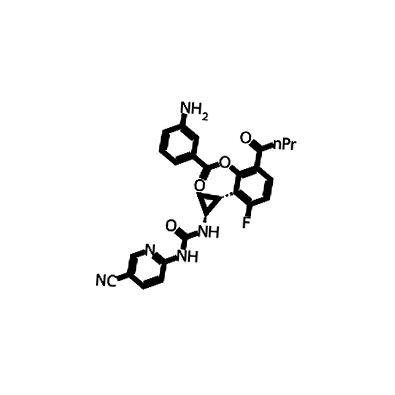 CCCC(=O)c1ccc(F)c([C@H]2C[C@H]2NC(=O)Nc2ccc(C#N)cn2)c1OC(=O)c1cccc(N)c1